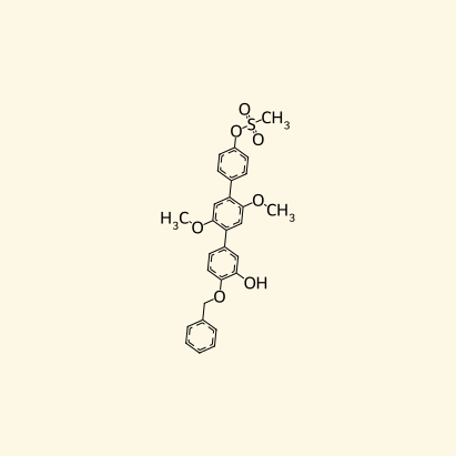 COc1cc(-c2ccc(OCc3ccccc3)c(O)c2)c(OC)cc1-c1ccc(OS(C)(=O)=O)cc1